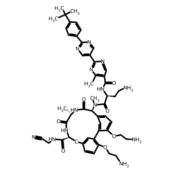 Cc1nc(-c2cnc(-c3ccc(C(C)(C)C)cc3)nc2)ncc1C(=O)N[C@@H](CCN)C(=O)N(C)[C@@H]1C(=O)N[C@@H](C)C(=O)N[C@H](C(=O)NCC#N)Cc2ccc(OCCN)c(c2)-c2cc1ccc2OCCN